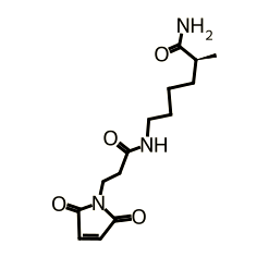 C[C@@H](CCCCNC(=O)CCN1C(=O)C=CC1=O)C(N)=O